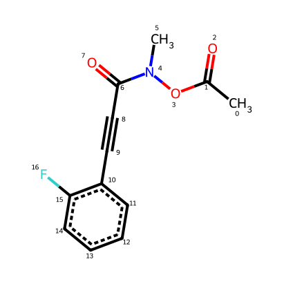 CC(=O)ON(C)C(=O)C#Cc1ccccc1F